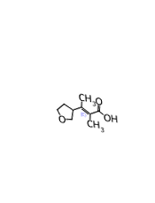 C/C(C(=O)O)=C(/C)C1CCOC1